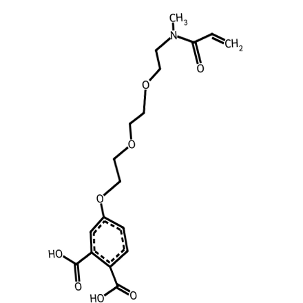 C=CC(=O)N(C)CCOCCOCCOc1ccc(C(=O)O)c(C(=O)O)c1